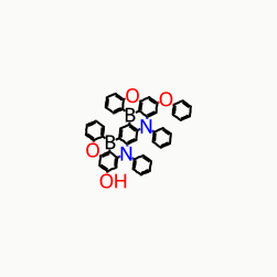 Oc1cc2c3c(c1)N(c1ccccc1)c1cc4c(cc1B3c1ccccc1O2)B1c2ccccc2Oc2cc(Oc3ccccc3)cc(c21)N4c1ccccc1